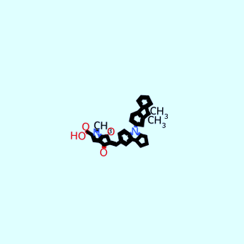 Cn1c(C(=O)O)cc2c1C(=O)C(=Cc1ccc3c(c1)C1CCCC1N3c1ccc3c(c1)C(C)(C)c1ccccc1-3)C2=O